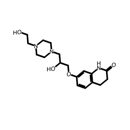 O=C1CCc2ccc(OCC(O)CN3CCN(CCO)CC3)cc2N1